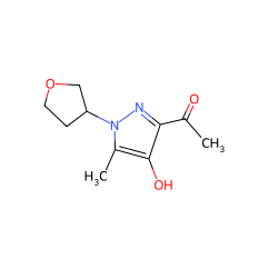 CC(=O)c1nn(C2CCOC2)c(C)c1O